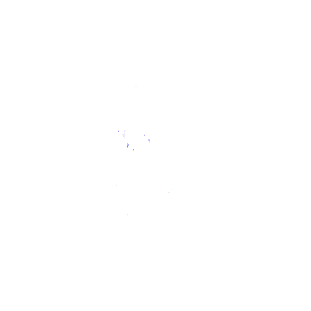 Cc1cccc(-c2c(Cl)cccc2-n2nnc3ccccc32)c1